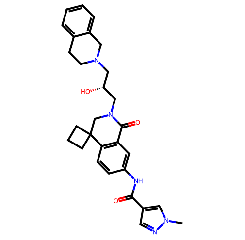 Cn1cc(C(=O)Nc2ccc3c(c2)C(=O)N(C[C@H](O)CN2CCc4ccccc4C2)CC32CCC2)cn1